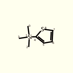 C[Si](C)(C)c1c[c]cs1